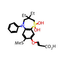 CCC1(CC)CN(c2ccccc2)c2cc(SC)c(OC=CC(=O)O)cc2S(O)(O)C1